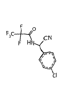 N#CC(NC(=O)C(F)(F)C(F)(F)F)c1ccc(Cl)cc1